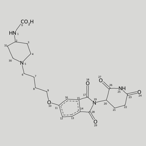 O=C(O)NC1CCN(CCCCOc2ccc3c(c2)C(=O)N(C2CCC(=O)NC2=O)C3=O)CC1